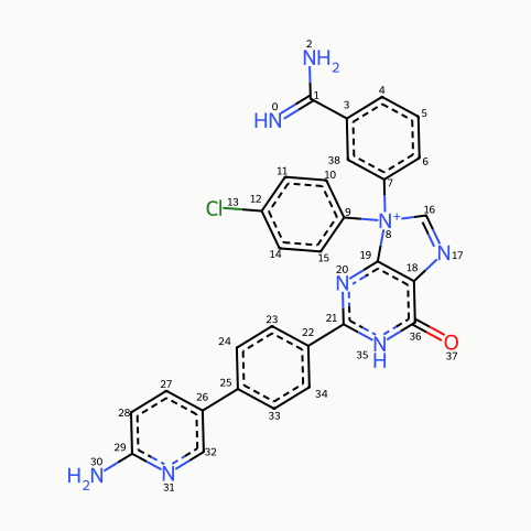 N=C(N)c1cccc([N+]2(c3ccc(Cl)cc3)C=Nc3c2nc(-c2ccc(-c4ccc(N)nc4)cc2)[nH]c3=O)c1